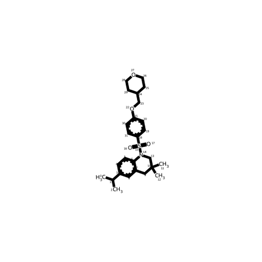 CC(C)c1ccc2c(c1)CC(C)(C)CN2S(=O)(=O)c1ccc(OCC2CCOCC2)cc1